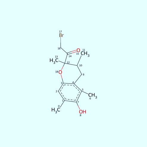 Cc1cc2c(c(C)c1O)CC(C)C(C)(C(=O)CBr)O2